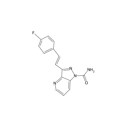 NC(=O)n1nc(C=Cc2ccc(F)cc2)c2n[c]ccc21